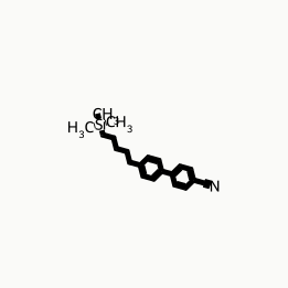 C[Si](C)(C)CCCCCc1ccc(-c2ccc(C#N)cc2)cc1